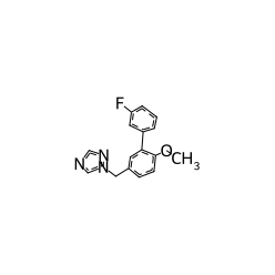 COc1ccc(Cn2cncn2)cc1-c1cccc(F)c1